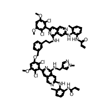 C=CC(=O)Nc1cccc(C)c1Nc1cc2c(NCCc3cccc(COc4cc(OC)c(Cl)c(-c5cc6cnc(Nc7c(C)cccc7NC(=O)C=C)cc6c(NCc6cnn(C)c6)n5)c4Cl)c3)nc(-c3c(Cl)c(OC)cc(OC)c3Cl)cc2cn1